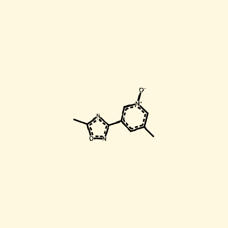 Cc1cc(-c2noc(C)n2)c[n+]([O-])c1